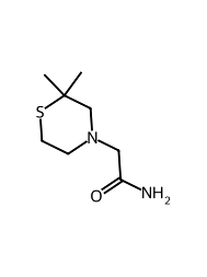 CC1(C)CN(CC(N)=O)CCS1